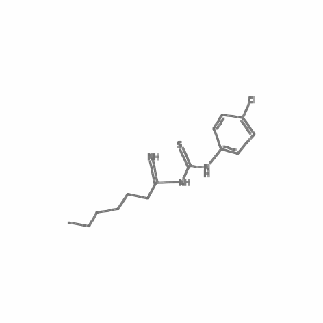 CCCCCCC(=N)NC(=S)Nc1ccc(Cl)cc1